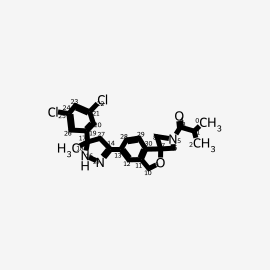 CC(C)C(=O)N1CC2(C1)OCc1cc(C3=NNC(C)(c4cc(Cl)cc(Cl)c4)C3)ccc12